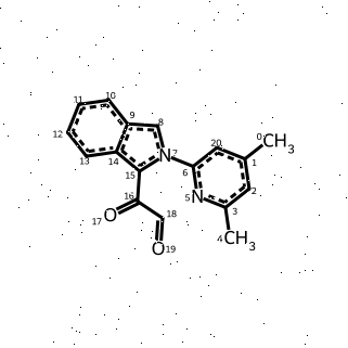 Cc1cc(C)nc(-n2cc3ccccc3c2C(=O)C=O)c1